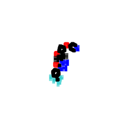 O=C(Nc1ccc(F)c(C(F)(F)F)c1)NC1[C@@H]2C3CC(Oc4ccncc4)=CC=C3O[C@H]12